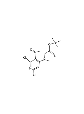 CC(=O)c1c(N(C)CC(=O)OC(C)(C)C)cc(Cl)nc1Cl